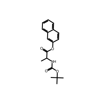 CC(NC(=O)OC(C)(C)C)C(=O)Oc1ccc2ccccc2c1